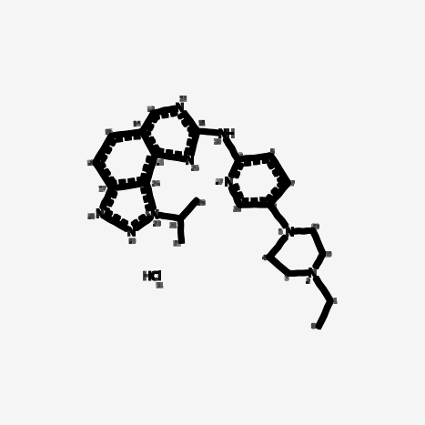 CCN1CCN(c2ccc(Nc3ncc4ccc5nnn(C(C)C)c5c4n3)nc2)CC1.Cl